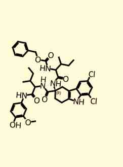 CCC(C)C(NC(=O)OCc1ccccc1)C(=O)N[C@]1(C(=O)NC(C(=O)Nc2ccc(O)c(OC)c2)C(C)CC)CCc2[nH]c3c(Cl)cc(Cl)cc3c2C1